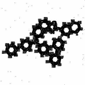 C1=Cc2ccc(-c3nc4c(ccc5ccc(N(c6ccc(-c7ccccc7)cc6)c6ccc(-c7ccccc7-c7ccccc7)cc6)cc54)o3)cc2CC1